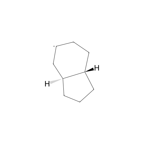 [CH]1CC[C@@H]2CCC[C@H]2C1